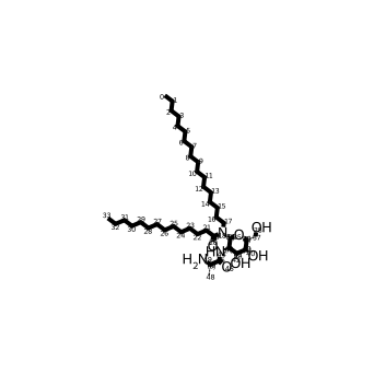 CCCCCCCCCCCCCCCCCCN(C(=O)CCCCCCCCCCCCC)[C@@H]1O[C@H](CO)[C@@H](O)[C@H](O)[C@H]1NC(=O)[C@H](C)N